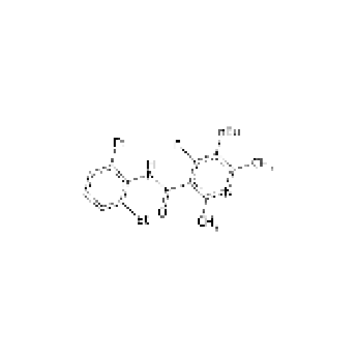 CCCCc1c(C)nc(C)c(C(=O)Nc2c(CC)cccc2CC)c1F